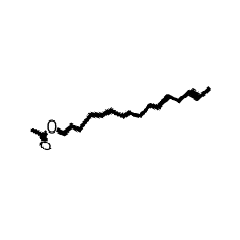 C/C=C/C/C=C/CCCCCCCCCCOC(C)=O